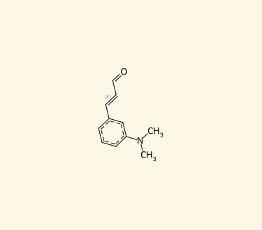 CN(C)c1cccc(/C=C/C=O)c1